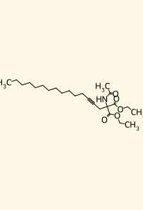 CCCCCCCCCCCCC#CCC(NC(C)=O)(C(=O)OCC)C(=O)OCC